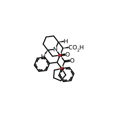 O=C(O)[C@@H]1[C@H]2CCC[C@@H](CN1C(=O)N1CCCC1)N2C(=O)C(c1ccccc1)c1ccccc1